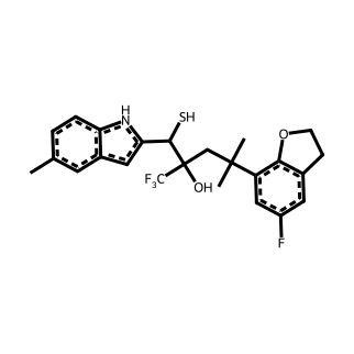 Cc1ccc2[nH]c(C(S)C(O)(CC(C)(C)c3cc(F)cc4c3OCC4)C(F)(F)F)cc2c1